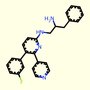 NC(CNc1ccc(-c2cccc(F)c2)c(-c2ccncc2)n1)Cc1ccccc1